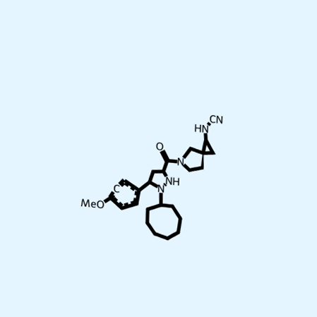 COc1ccc(C2CC(C(=O)N3CC[C@@]4(CC4NC#N)C3)NN2C2CCCCCCC2)cc1